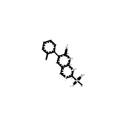 Cc1ccccc1-c1cc2cnc(S(C)(=O)=O)nc2[nH]c1=O